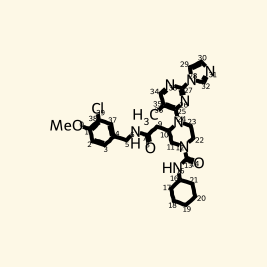 COc1ccc(CNC(=O)CC2CN(C(=O)NC3CCCCC3)CCN2c2nc(-n3ccnc3)ncc2C)cc1Cl